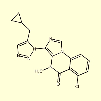 Cn1c(=O)c2c(Cl)cccc2n2cnc(-n3nncc3CC3CC3)c12